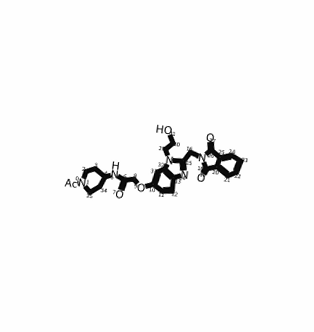 CC(=O)N1CCC(NC(=O)COc2ccc3nc(CN4C(=O)c5ccccc5C4=O)n(CCO)c3c2)CC1